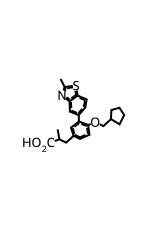 Cc1nc2cc(-c3cc(CC(C)C(=O)O)ccc3OCC3CCCC3)ccc2s1